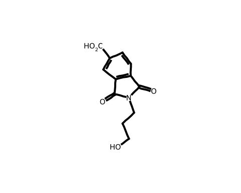 O=C(O)c1ccc2c(c1)C(=O)N(CCCO)C2=O